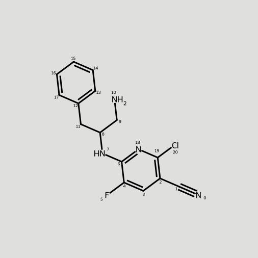 N#Cc1cc(F)c(NC(CN)Cc2ccccc2)nc1Cl